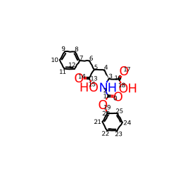 O=C(N[C@@H](CC(Cc1ccccc1)C(=O)O)C(=O)O)Oc1ccccc1